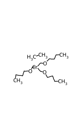 CC.CCCCO[CH2][Cr]([CH2]OCCCC)[CH2]OCCCC